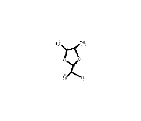 CCCCC(CC)C1OC(C)C(C)O1